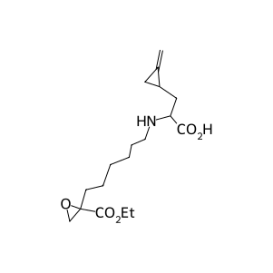 C=C1CC1CC(NCCCCCCC1(C(=O)OCC)CO1)C(=O)O